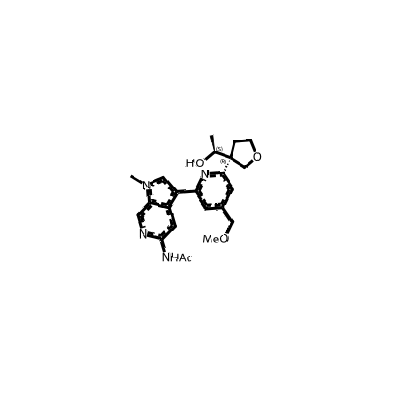 COCc1cc(-c2cn(C)c3cnc(NC(C)=O)cc23)nc([C@]2([C@H](C)O)CCOC2)c1